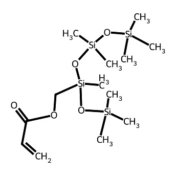 C=CC(=O)OC[Si](C)(O[Si](C)(C)C)O[Si](C)(C)O[Si](C)(C)C